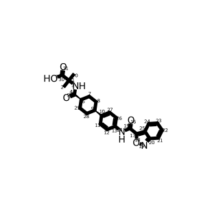 CC(C)(NC(=O)[C@H]1CC[C@@H](c2ccc(NC(=O)c3onc4ccccc34)cc2)CC1)C(=O)O